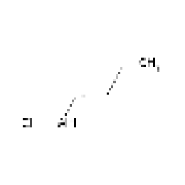 CC[CH2][AlH][Cl].[CH3]